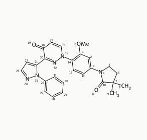 COc1cc(N2CCC(C)(C)C2=O)ccc1-n1ccc(=O)c(-c2ccnn2-c2ccccc2)n1